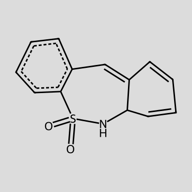 O=S1(=O)NC2C=CC=CC2=Cc2ccccc21